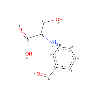 NC(CO)C(=O)O.O=Cc1ccccc1